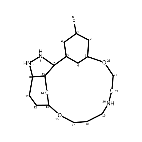 FC1CC2CC(C1)C1NNC3CCC(CC31)OCCCNCCO2